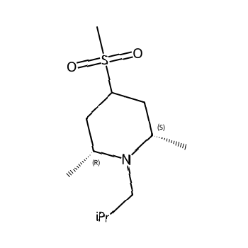 CC(C)CN1[C@H](C)CC(S(C)(=O)=O)C[C@@H]1C